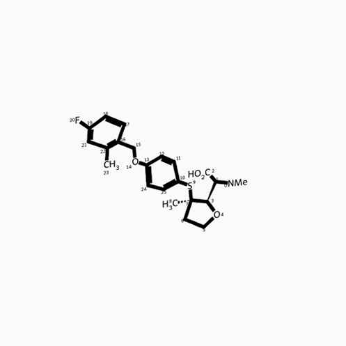 CNC(C(=O)O)[C@H]1OCC[C@@]1(C)Sc1ccc(OCc2ccc(F)cc2C)cc1